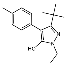 CCn1nc(C(C)(C)C)c(-c2ccc(C)cc2)c1O